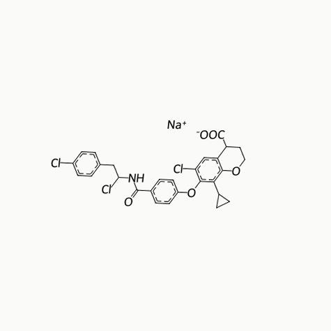 O=C(NC(Cl)Cc1ccc(Cl)cc1)c1ccc(Oc2c(Cl)cc3c(c2C2CC2)OCCC3C(=O)[O-])cc1.[Na+]